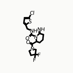 N=C1CCCC(C(=O)N2CCC(F)(F)C2)N1C(=O)NCc1ccc(Cl)s1